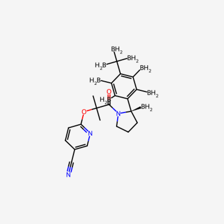 Bc1c(B)c([C@]2(B)CCCN2C(=O)C(C)(C)Oc2ccc(C#N)cn2)c(B)c(B)c1C(B)(B)B